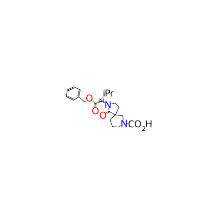 CC(C)[C@@H](C(=O)OCc1ccccc1)N1CCC2(CCCN(C(=O)O)C2)C1=O